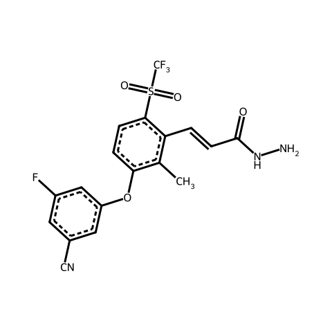 Cc1c(Oc2cc(F)cc(C#N)c2)ccc(S(=O)(=O)C(F)(F)F)c1C=CC(=O)NN